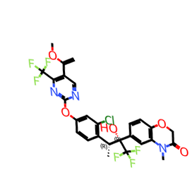 C=C(OC)c1cnc(Oc2ccc([C@@H](C)[C@@](O)(c3ccc4c(c3)N(C)C(=O)CO4)C(F)(F)F)c(Cl)c2)nc1C(F)(F)F